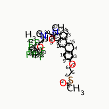 CC(=O)SCCCOc1ccc2c(c1)CCC1C2CC[C@@]2(C)C1CC[C@@H]2N(C)C(=O)CN(C)CCOC(C(F)(F)F)(C(F)(F)F)C(F)(F)F